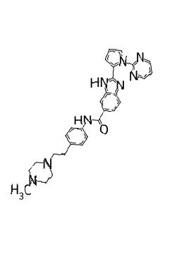 CN1CCN(CCc2ccc(NC(=O)c3ccc4nc(-c5cccn5-c5ncccn5)[nH]c4c3)cc2)CC1